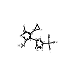 Cc1sc(N)c(-c2nc(C(F)(F)F)no2)c1C1CC1